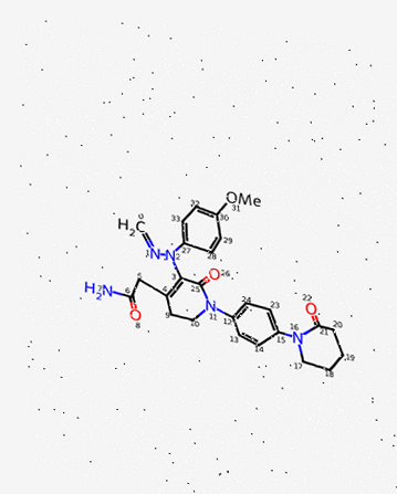 C=NN(C1=C(CC(N)=O)CCN(c2ccc(N3CCCCC3=O)cc2)C1=O)c1ccc(OC)cc1